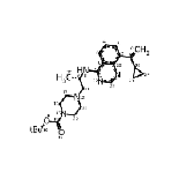 C=C(c1cccc2c(N[C@@H](C)CN3CCN(C(=O)OC(C)(C)C)CC3)ncnc12)C1CC1